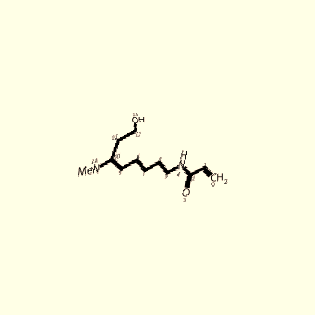 C=CC(=O)NCCCCCC(CCO)NC